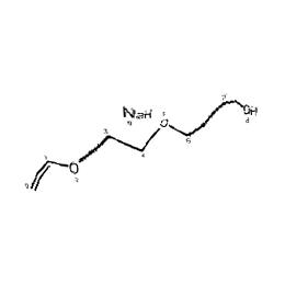 C=COCCOCCO.[NaH]